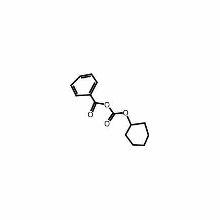 O=C(OC(=O)c1ccccc1)OC1CCCCC1